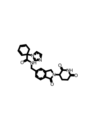 O=C1CCC(N2Cc3cc(CNC(=O)C4(n5ccnc5)C=CC=CC4)ccc3C2=O)C(=O)N1